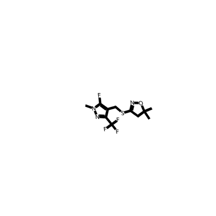 Cn1nc(C(F)(F)F)c(CSC2=NOC(C)(C)C2)c1F